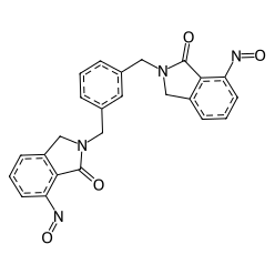 O=Nc1cccc2c1C(=O)N(Cc1cccc(CN3Cc4cccc(N=O)c4C3=O)c1)C2